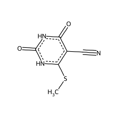 CSc1[nH]c(=O)[nH]c(=O)c1C#N